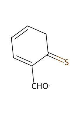 O=[C]C1=CC=CCC1=S